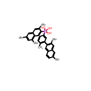 Cc1ccc(P(O)(O)(O)c2cc3c(C(C)(C)C)cc(C(C)(C)C)cc3cc2C(C)(C)C)cc1-c1cc2ccc(C(C)(C)C)cc2cc1C(C)(C)C